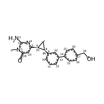 Cn1c(N)nc([C@H]2C[C@H]2c2cccc(-c3ccc(CO)cc3)c2)cc1=O